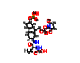 CC(NC(=O)O)C(=O)Nc1ccc2c(c1)C(COC(=O)ON1C(=O)CCC1=O)c1cc(OS(=O)O)ccc1-2